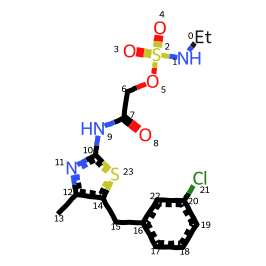 CCNS(=O)(=O)OCC(=O)Nc1nc(C)c(Cc2cccc(Cl)c2)s1